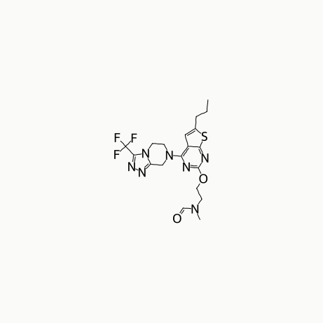 CCCc1cc2c(N3CCn4c(nnc4C(F)(F)F)C3)nc(OCCN(C)C=O)nc2s1